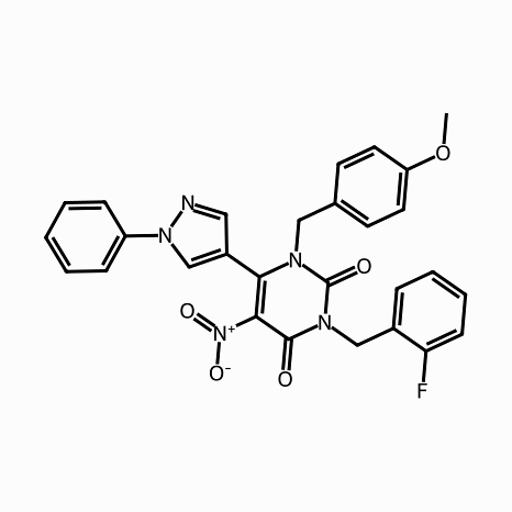 COc1ccc(Cn2c(-c3cnn(-c4ccccc4)c3)c([N+](=O)[O-])c(=O)n(Cc3ccccc3F)c2=O)cc1